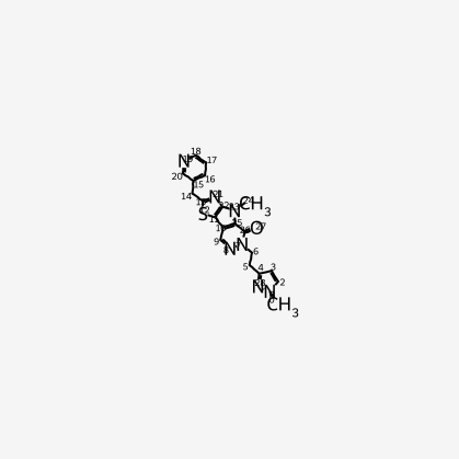 Cn1ccc(CCn2ncc3c4sc(Cc5cccnc5)nc4n(C)c3c2=O)n1